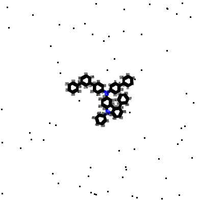 c1ccc(-c2ccc(N(c3ccc(-c4cccc(-c5ccccc5)c4)cc3)c3ccc4c(c3)c3c(-c5ccccc5)cccc3n4-c3ccccc3)cc2)cc1